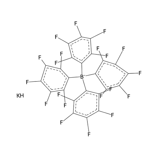 Fc1c(F)c(F)c([B-](c2c(F)c(F)c(F)c(F)c2F)(c2c(F)c(F)c(F)c(F)c2F)c2c(F)c(F)c(F)c(F)c2F)c(F)c1F.[KH]